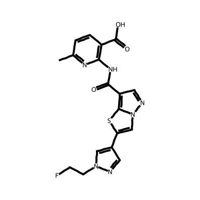 Cc1ccc(C(=O)O)c(NC(=O)c2cnn3cc(-c4cnn(CCF)c4)sc23)n1